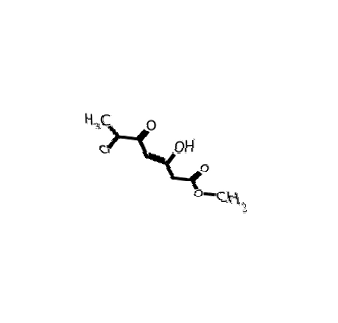 COC(=O)CC(O)=CC(=O)C(C)Cl